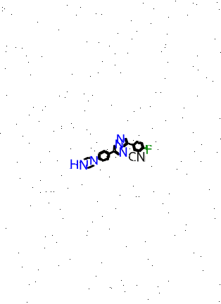 N#Cc1cc(-c2cnn3cc(-c4ccc(N5CCNCC5)cc4)cnc23)ccc1F